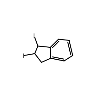 IC1Cc2ccccc2C1I